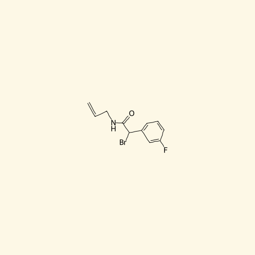 C=CCNC(=O)C(Br)c1cccc(F)c1